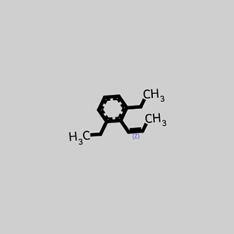 C/C=C\c1c(CC)cccc1CC